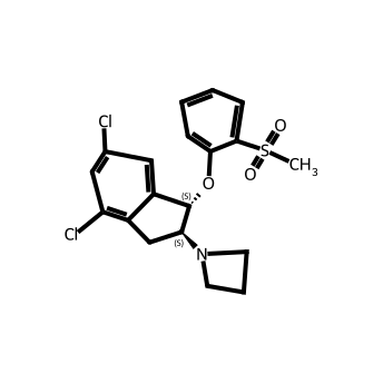 CS(=O)(=O)c1ccccc1O[C@H]1c2cc(Cl)cc(Cl)c2C[C@@H]1N1CCC1